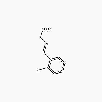 CCOC(=O)CN=Cc1ccccc1Cl